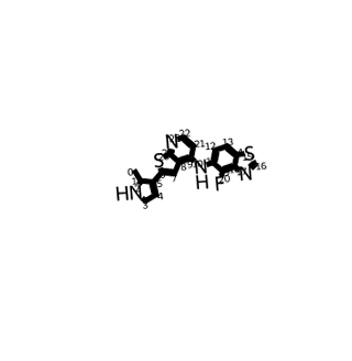 CC1NCC=C1c1cc2c(Nc3ccc4scnc4c3F)ccnc2s1